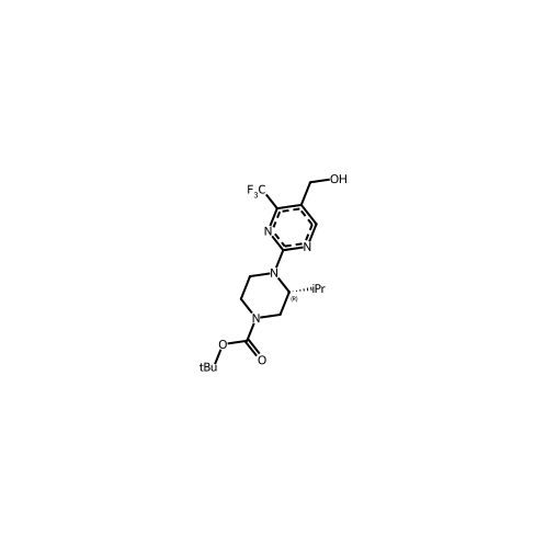 CC(C)[C@@H]1CN(C(=O)OC(C)(C)C)CCN1c1ncc(CO)c(C(F)(F)F)n1